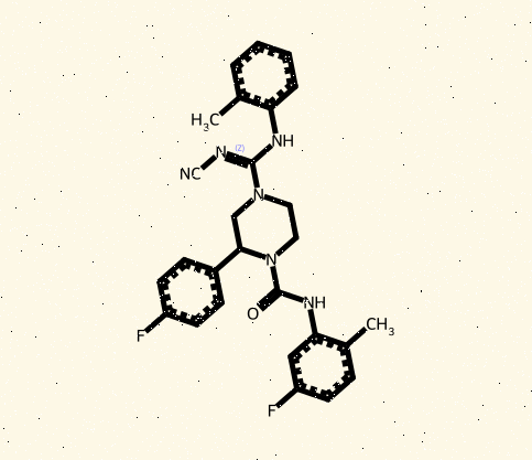 Cc1ccc(F)cc1NC(=O)N1CCN(/C(=N\C#N)Nc2ccccc2C)CC1c1ccc(F)cc1